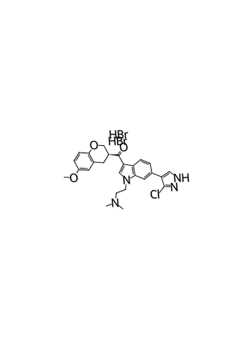 Br.Br.COc1ccc2c(c1)C[C@H](C(=O)c1cn(CCN(C)C)c3cc(-c4c[nH]nc4Cl)ccc13)CO2